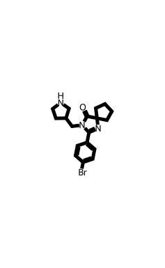 O=C1N(CC2CCNC2)C(c2ccc(Br)cc2)=NC12CCCC2